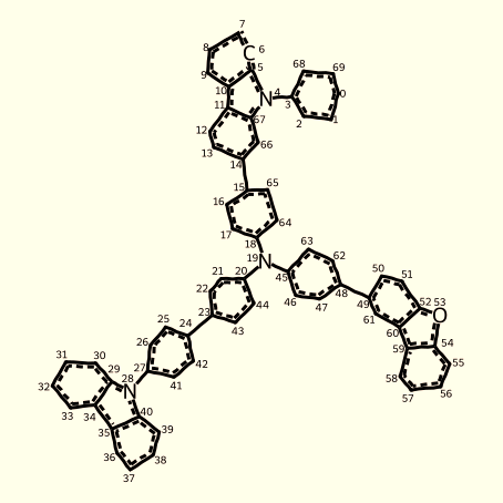 c1ccc(-n2c3ccccc3c3ccc(-c4ccc(N(c5ccc(-c6ccc(-n7c8ccccc8c8ccccc87)cc6)cc5)c5ccc(-c6ccc7oc8ccccc8c7c6)cc5)cc4)cc32)cc1